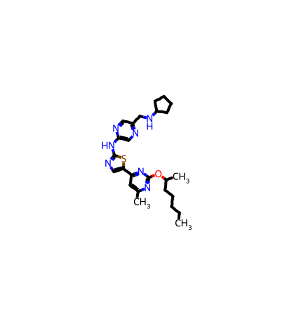 CCCCCC(C)Oc1nc(C)cc(-c2cnc(Nc3cnc(CNC4CCCC4)cn3)s2)n1